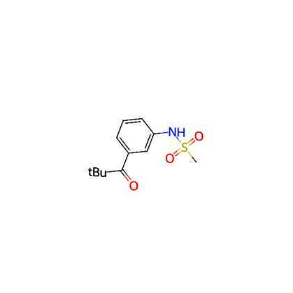 CC(C)(C)C(=O)c1cccc(NS(C)(=O)=O)c1